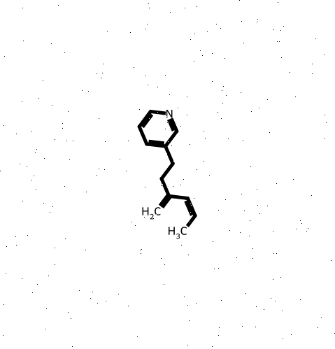 C=C(/C=C\C)CCc1cccnc1